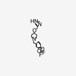 FC1(F)Oc2ccc(CN3CCC(OCc4c[nH]cn4)CC3)cc2O1